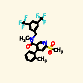 Cc1ccccc1-c1cc(S(C)(=O)=O)ncc1C(=O)N(C)Cc1cc(C(F)(F)F)cc(C(F)(F)F)c1